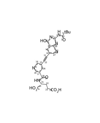 CC(C)(C)C(=O)Nc1nc(O)c2cc(C#Cc3cncc(C(=O)N[C@H](CCC(=O)O)C(=O)O)c3)cnc2n1